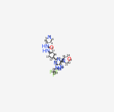 O=C(Nc1ccncc1)Nc1ccc(-c2nc(N3C4CCC3COC4)c3nnn(CC(F)(F)F)c3n2)cc1